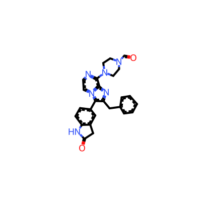 O=CN1CCN(c2nccn3c(-c4ccc5c(c4)CC(=O)N5)c(Cc4ccccc4)nc23)CC1